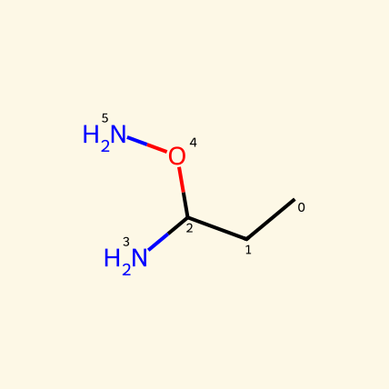 CCC(N)ON